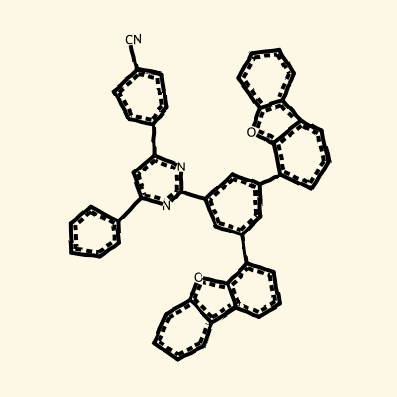 N#Cc1ccc(-c2cc(-c3ccccc3)nc(-c3cc(-c4cccc5c4oc4ccccc45)cc(-c4cccc5c4oc4ccccc45)c3)n2)cc1